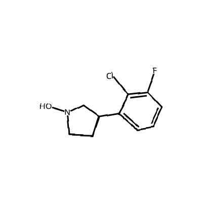 ON1CCC(c2cccc(F)c2Cl)C1